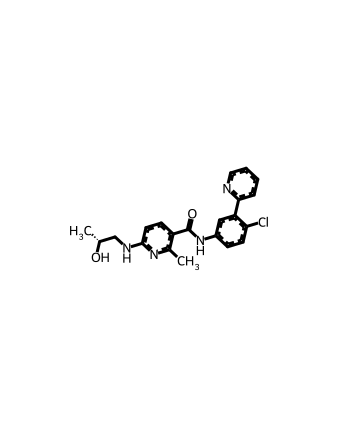 Cc1nc(NC[C@@H](C)O)ccc1C(=O)Nc1ccc(Cl)c(-c2ccccn2)c1